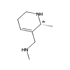 CNCC1=CCCN[C@@H]1C